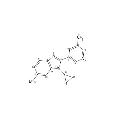 FC(F)(F)c1cncc(-c2nc3ccc(Br)cc3n2C2CC2)c1